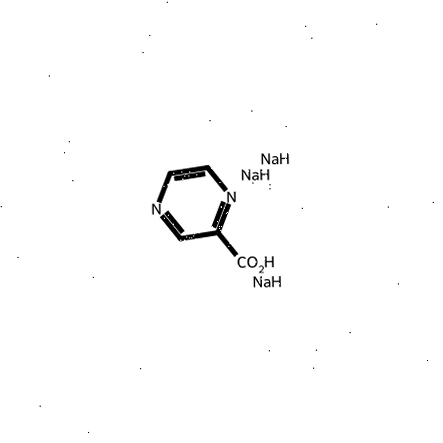 O=C(O)c1cnccn1.[NaH].[NaH].[NaH]